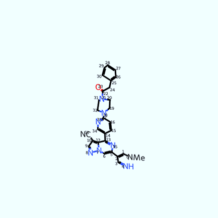 CN/C=C(\C=N)c1cn2ncc(C#N)c2c(-c2ccc(N3CCN(C(=O)Cc4ccccc4)CC3)nc2)n1